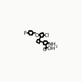 Nc1ccc(C2=C(c3cc(Cl)ccc3OCc3ccc(F)cc3)CCC2)cc1C(=O)O